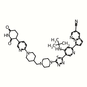 CC(C)(C)Nc1cc(-c2ccc3cc(C#N)cnn23)ncc1-c1nnc(N2CCN(CC3CCN(c4ccc(C5CCC(=O)NC5=O)cn4)CC3)CC2)s1